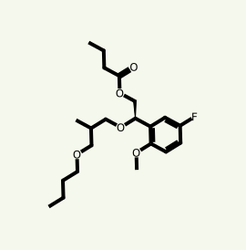 CCCCOCC(C)CO[C@@H](COC(=O)CCC)c1cc(F)ccc1OC